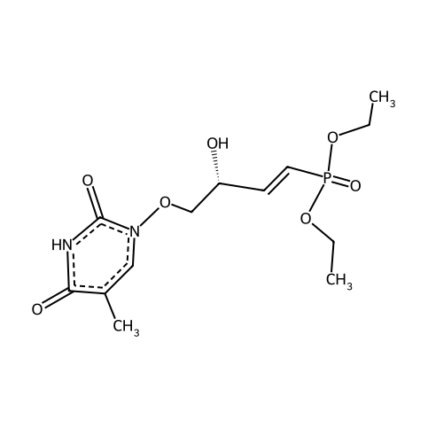 CCOP(=O)(/C=C/[C@@H](O)COn1cc(C)c(=O)[nH]c1=O)OCC